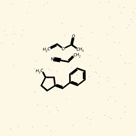 C=CC#N.C=COC(C)=O.CC1CCC(=Cc2ccccc2)C1